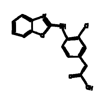 O=C(O)Cc1ccc(Nc2nc3ccccc3o2)c(Cl)c1